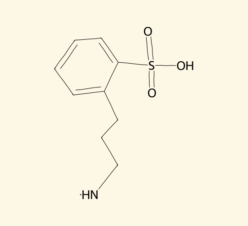 [NH]CCCc1ccccc1S(=O)(=O)O